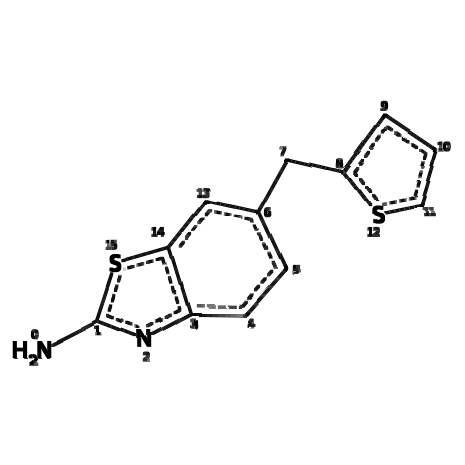 Nc1nc2ccc(Cc3cccs3)cc2s1